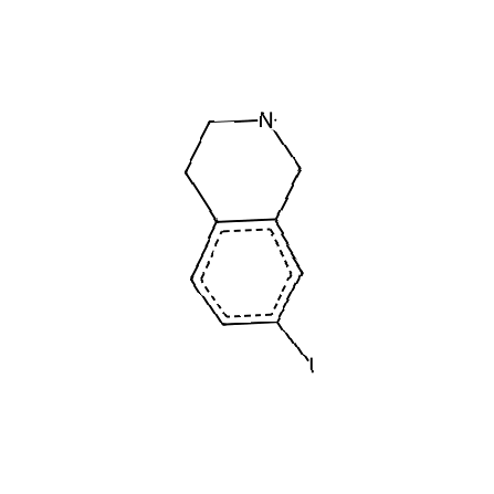 Ic1ccc2c(c1)C[N]CC2